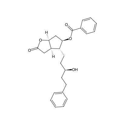 O=C1C[C@@H]2[C@@H](CC[C@@H](O)CCc3ccccc3)[C@H](OC(=O)c3ccccc3)C[C@@H]2O1